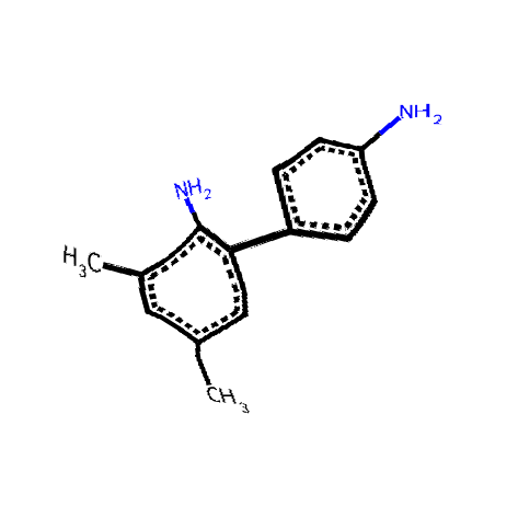 Cc1cc(C)c(N)c(-c2ccc(N)cc2)c1